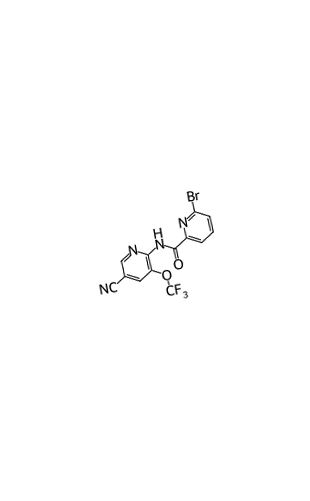 N#Cc1cnc(NC(=O)c2cccc(Br)n2)c(OC(F)(F)F)c1